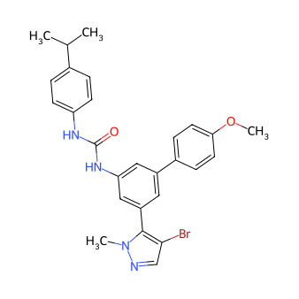 COc1ccc(-c2cc(NC(=O)Nc3ccc(C(C)C)cc3)cc(-c3c(Br)cnn3C)c2)cc1